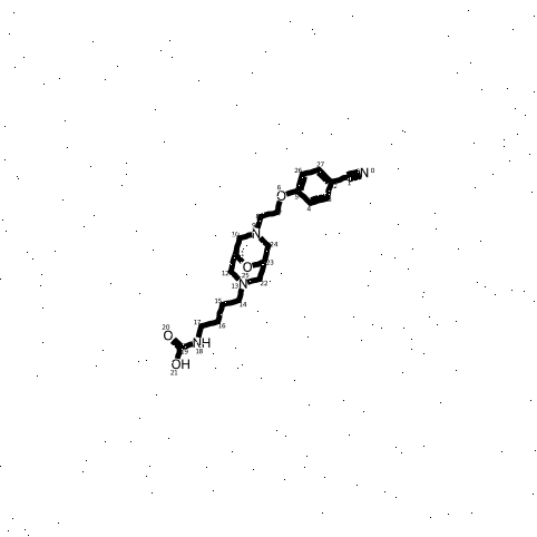 N#Cc1ccc(OCCN2CC3CN(CCCCNC(=O)O)CC(C2)O3)cc1